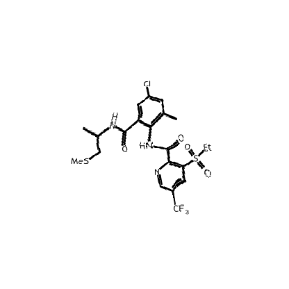 CCS(=O)(=O)c1cc(C(F)(F)F)cnc1C(=O)Nc1c(C)cc(Cl)cc1C(=O)NC(C)CSC